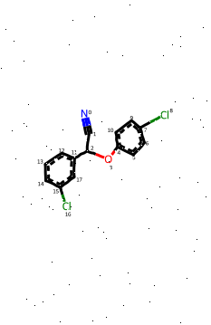 N#CC(Oc1ccc(Cl)cc1)c1cccc(Cl)c1